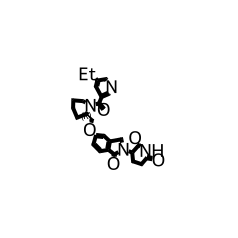 CCc1cncc(C(=O)N2CCCC[C@@H]2COc2ccc3c(c2)CN(C2CCC(=O)NC2=O)C3=O)c1